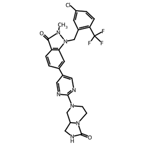 Cn1c(=O)c2ccc(-c3cnc(N4CCN5C(=O)NCC5C4)nc3)cc2n1Cc1cc(Cl)ccc1C(F)(F)F